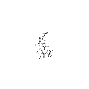 CC(c1cc(F)c(NC(=O)[C@@H](NC(=O)c2ccnn2C(C)C)C(C2CC2)C2CC2)cc1OC(F)(F)F)C(O)N(C)CC(F)(F)F